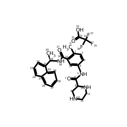 Cc1ccc(NC(=O)C2CNCCN2)cc1C(=O)N[C@H](C)c1cccc2ccccc12.O=C(O)C(F)(F)F